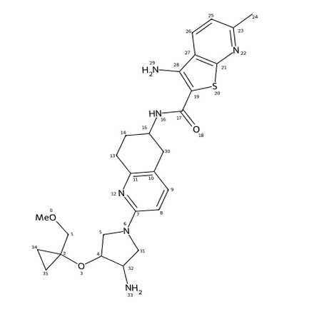 COCC1(OC2CN(c3ccc4c(n3)CCC(NC(=O)c3sc5nc(C)ccc5c3N)C4)CC2N)CC1